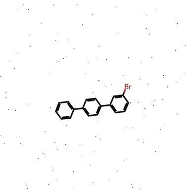 Brc1[c]ccc(-c2ccc(-c3ccccc3)cc2)c1